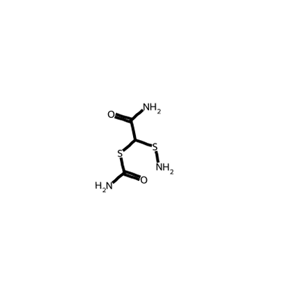 NSC(SC(N)=O)C(N)=O